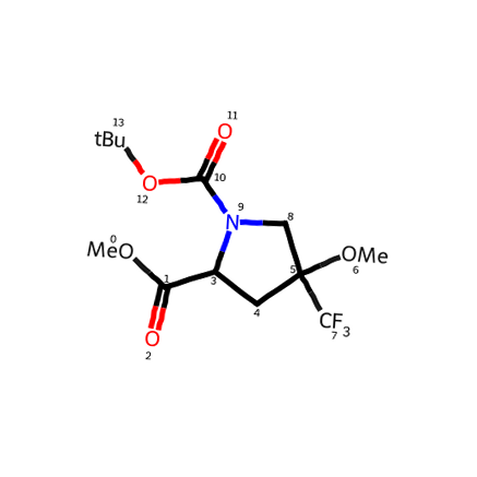 COC(=O)C1CC(OC)(C(F)(F)F)CN1C(=O)OC(C)(C)C